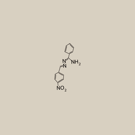 NC(=NN=Cc1ccc([N+](=O)[O-])cc1)c1ccccc1